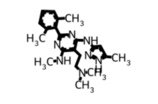 CNc1nc(-c2c(C)cccc2C)nc(Nc2cc(C)[nH]n2)c1CCN(C)C